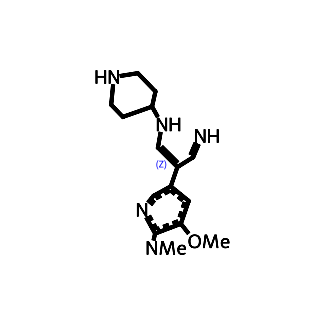 CNc1ncc(/C(C=N)=C/NC2CCNCC2)cc1OC